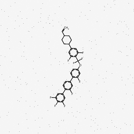 C=CC1CCC(c2cc(F)c(C(F)(F)Oc3ccc(-c4ccc(-c5cc(F)c(F)c(F)c5)c(F)c4)c(F)c3)c(F)c2)CC1